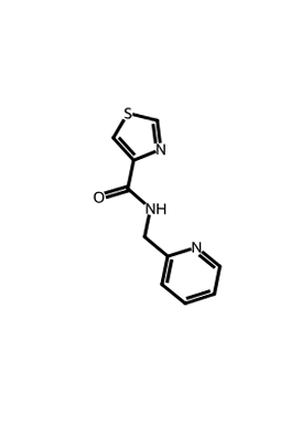 O=C(NCc1ccccn1)c1cscn1